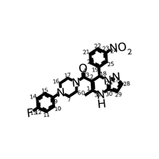 CC1=C(C(=O)N2CCN(c3ccc(F)cc3)CC2)C(c2cccc([N+](=O)[O-])c2)n2nccc2N1